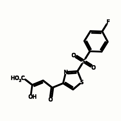 O=C(O)C(O)=CC(=O)c1csc(S(=O)(=O)c2ccc(F)cc2)n1